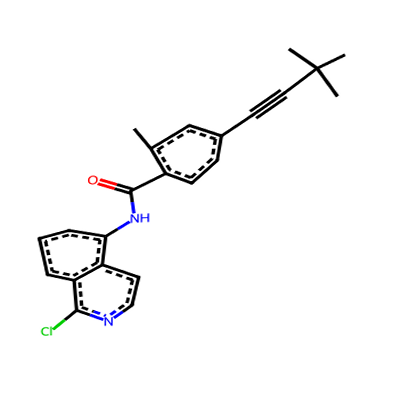 Cc1cc(C#CC(C)(C)C)ccc1C(=O)Nc1cccc2c(Cl)nccc12